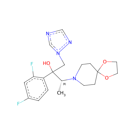 C[C@@H](N1CCC2(CC1)OCCO2)C(O)(Cn1cncn1)c1ccc(F)cc1F